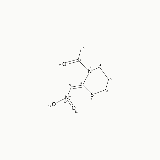 CC(=O)N1CCCSC1=C[N+](=O)[O-]